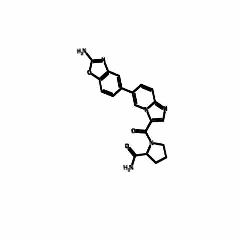 NC(=O)C1CCCN1C(=O)c1cnc2ccc(-c3ccc4oc(N)nc4c3)cn12